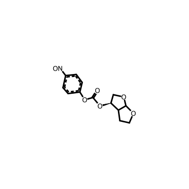 O=Nc1ccc(OC(=O)O[C@H]2COC3OCCC32)cc1